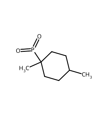 CC1CCC(C)(P(=O)=O)CC1